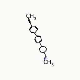 CC#Cc1ccc(-c2ccc(C3CCC(/C=C/C)CC3)cc2)cc1